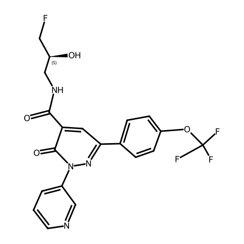 O=C(NC[C@H](O)CF)c1cc(-c2ccc(OC(F)(F)F)cc2)nn(-c2cccnc2)c1=O